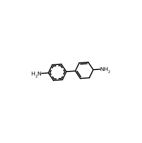 Nc1ccc(C2=CCC(N)C=C2)cc1